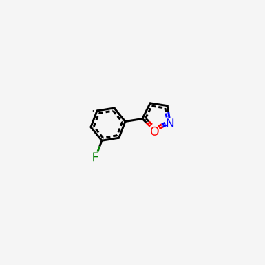 Fc1c[c]cc(-c2ccno2)c1